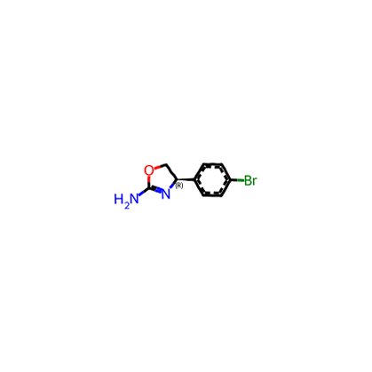 NC1=N[C@H](c2ccc(Br)cc2)CO1